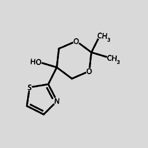 CC1(C)OCC(O)(c2nccs2)CO1